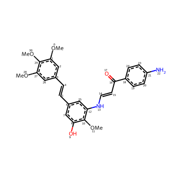 COc1cc(C=Cc2cc(O)c(OC)c(NC=CC(=O)c3ccc(N)cc3)c2)cc(OC)c1OC